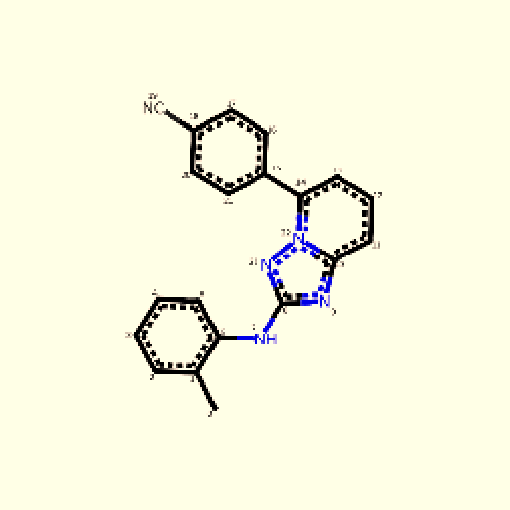 Cc1ccccc1Nc1nc2cccc(-c3ccc(C#N)cc3)n2n1